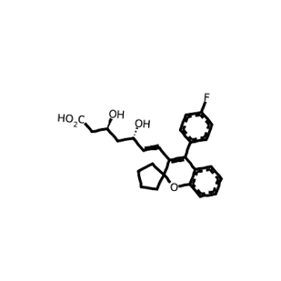 O=C(O)C[C@@H](O)C[C@H](O)/C=C/C1=C(c2ccc(F)cc2)c2ccccc2OC12CCCC2